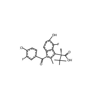 Cc1c([C@](C)(C(=O)O)C(C)(C)C)c2c(F)c(O)ccc2n1C(=O)c1ccc(Cl)c(F)c1